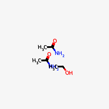 CC(N)=O.CC(N)=O.CCO